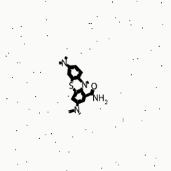 CN(C)c1ccc2c(c1)Sc1cc(N(C)C)cc(C(N)=O)c1N2C